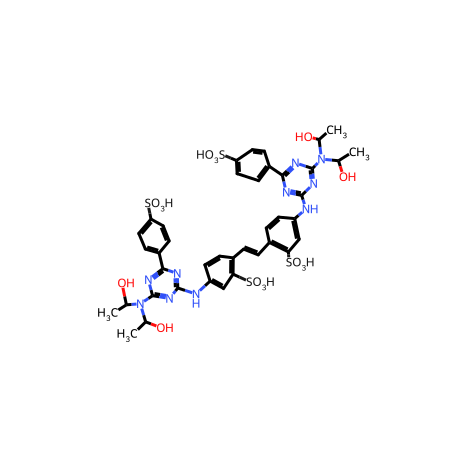 CC(O)N(c1nc(Nc2ccc(C=Cc3ccc(Nc4nc(-c5ccc(S(=O)(=O)O)cc5)nc(N(C(C)O)C(C)O)n4)cc3S(=O)(=O)O)c(S(=O)(=O)O)c2)nc(-c2ccc(S(=O)(=O)O)cc2)n1)C(C)O